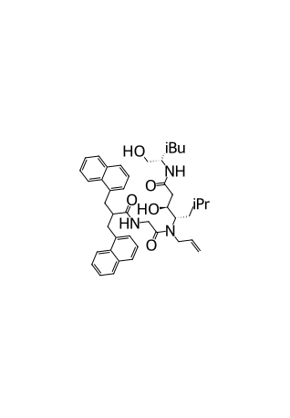 C=CCN(C(=O)CNC(=O)C(Cc1cccc2ccccc12)Cc1cccc2ccccc12)[C@@H](CC(C)C)[C@@H](O)CC(=O)N[C@H](CO)[C@@H](C)CC